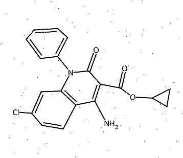 Nc1c(C(=O)OC2CC2)c(=O)n(-c2ccccc2)c2cc(Cl)ccc12